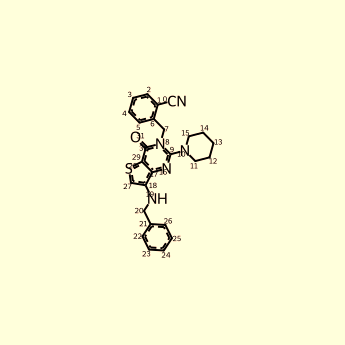 N#Cc1ccccc1Cn1c(N2CCCCC2)nc2c(NCc3ccccc3)csc2c1=O